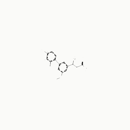 COc1cc(-c2ccc(F)cc2F)cc(C(N)CC(=O)O)c1